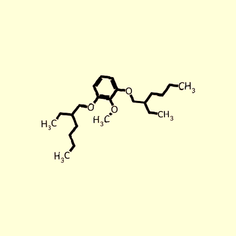 CCCCC(CC)COc1cccc(OCC(CC)CCCC)c1OC